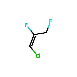 FC/C(F)=C\Cl